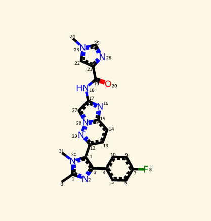 Cc1nc(-c2ccc(F)cc2)c(-c2ccc3nc(NC(=O)c4cn(C)cn4)cn3n2)n1C